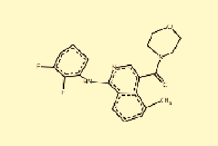 Cc1cccc2c(Nc3cccc(F)c3F)ncc(C(=O)N3CCOCC3)c12